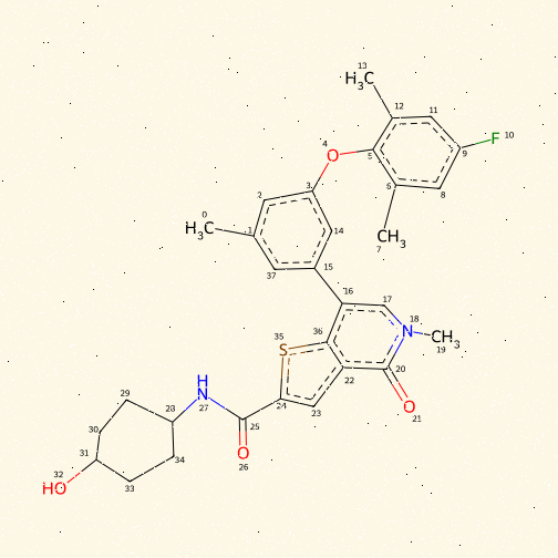 Cc1cc(Oc2c(C)cc(F)cc2C)cc(-c2cn(C)c(=O)c3cc(C(=O)NC4CCC(O)CC4)sc23)c1